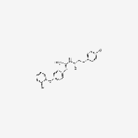 O=C(CCc1ccc(Cl)cc1)NC(=Cc1ccc(Oc2ccccc2Br)cc1)C(=O)O